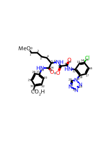 COCCCCC(NC(=O)C(=O)Nc1cc(Cl)ccc1-n1cnnn1)C(=O)Nc1ccc(C(=O)O)cc1